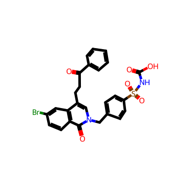 O=C(O)NS(=O)(=O)c1ccc(Cn2cc(CCC(=O)c3ccccc3)c3cc(Br)ccc3c2=O)cc1